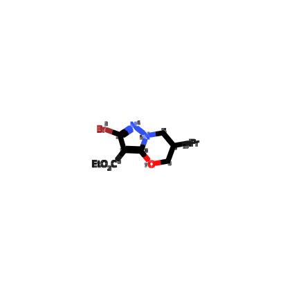 CCOC(=O)c1c(Br)nn2c1OCC(C(C)C)C2